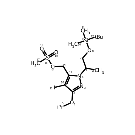 CC(C)Oc1nn(C(C)CO[Si](C)(C)C(C)(C)C)c(COS(C)(=O)=O)c1I